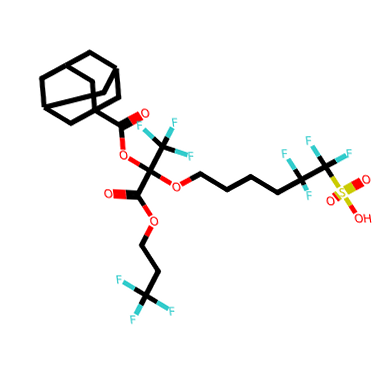 O=C(OC(OCCCCC(F)(F)C(F)(F)S(=O)(=O)O)(C(=O)OCCC(F)(F)F)C(F)(F)F)C12CC3CC(CC(C3)C1)C2